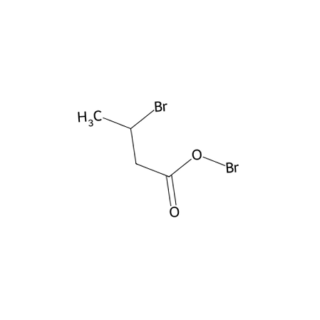 CC(Br)CC(=O)OBr